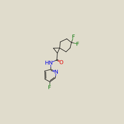 O=C(Nc1ccc(F)cn1)C1CC12CCC(F)(F)CC2